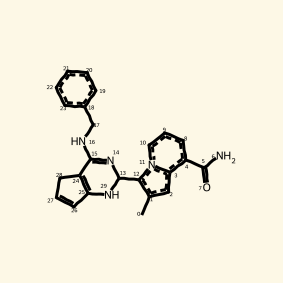 Cc1cc2c(C(N)=O)cccn2c1C1N=C(NCc2ccccc2)C2=C(C=CC2)N1